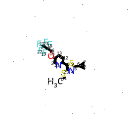 CCSc1nc(C2CC2)sc1-c1ccc(OCC(F)(F)C(F)(F)F)cn1